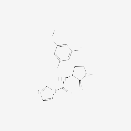 COc1cc(F)c([C@@H]2CNC(=O)[C@H]2NC(=O)n2ccnc2)c(F)c1